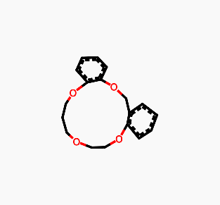 c1ccc2c(c1)COc1ccccc1OCCCOCCO2